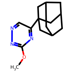 COc1nncc(C23CC4CC(CC(C4)C2)C3)n1